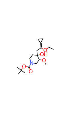 CCOC(CC1(O)CCN(C(=O)OC(C)(C)C)CC1OC)=C1CC1